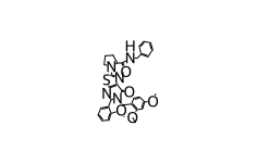 COc1ccc(Cn2c(-c3ccccc3OC)nc3sc(N4CCCC4C(=O)NCc4ccccc4)nc3c2=O)c(OC)c1